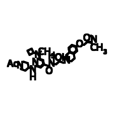 CC(=O)N1CCC(Nc2cc(C(=O)NC[C@H](O)CN3CCc4cc(OCc5ocnc5C)ccc4C3)cc(N(C)C3CCC3)n2)CC1